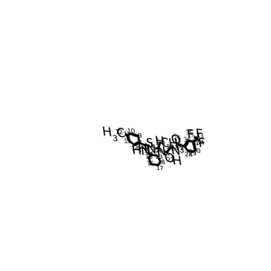 CCCNC1(NC(=S)c2ccc(C)cc2)CCCCC1NC(=O)CNC(=O)c1cccc(C(F)(F)F)c1